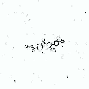 COC(=O)N1CCCN(C(=O)C2CN(c3ccc(C#N)c(C(F)(F)F)c3)C(C(F)(F)F)O2)CC1